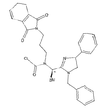 CC(C)(C)[C@H](C1=NC(c2ccccc2)CN1Cc1ccccc1)N(CCCN1C(=O)C2=C(CCC=C2)C1=O)C(=O)Cl